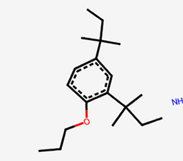 CCCOc1ccc(C(C)(C)CC)cc1C(C)(C)CC.N